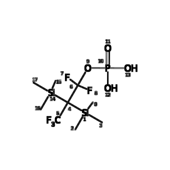 C[Si](C)(C)C(C(F)(F)F)(C(F)(F)OP(=O)(O)O)[Si](C)(C)C